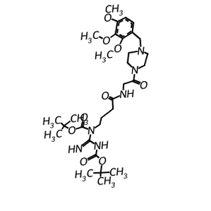 COc1ccc(CN2CCN(C(=O)CNC(=O)CCCN(C(=N)NC(=O)OC(C)(C)C)C(=O)OC(C)(C)C)CC2)c(OC)c1OC